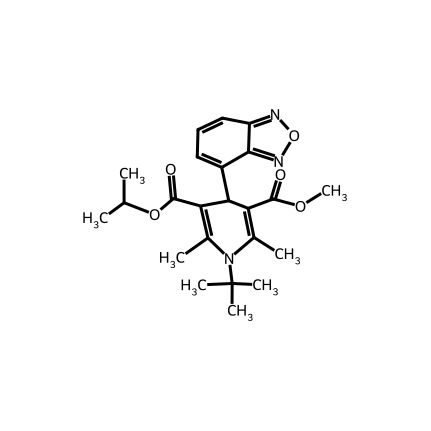 COC(=O)C1=C(C)N(C(C)(C)C)C(C)=C(C(=O)OC(C)C)C1c1cccc2nonc12